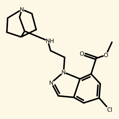 COC(=O)c1cc(Cl)cc2cnn(CCNC3CN4CCC3CC4)c12